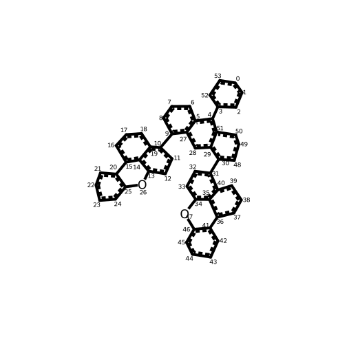 c1ccc(-c2c3cccc(-c4ccc5c6c(cccc46)-c4ccccc4O5)c3cc3c(-c4ccc5c6c(cccc46)-c4ccccc4O5)cccc23)cc1